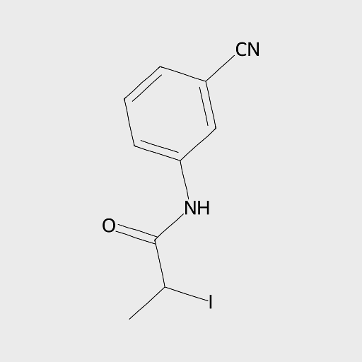 CC(I)C(=O)Nc1cccc(C#N)c1